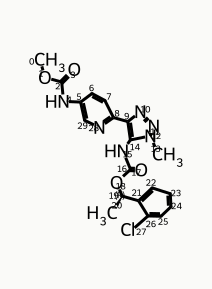 COC(=O)Nc1ccc(-c2nnn(C)c2NC(=O)O[C@H](C)c2ccccc2Cl)nc1